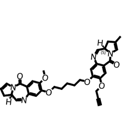 C#CCOc1cc2c(cc1OCCCCCOc1cc3c(cc1OC)C(=O)N1C=C(C)C[C@H]1C=N3)N=C[C@@H]1CC(C)=CN1C2=O